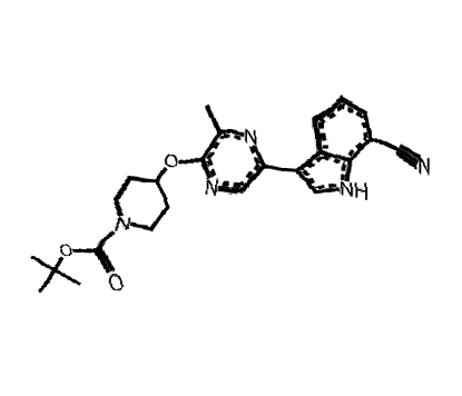 Cc1nc(-c2c[nH]c3c(C#N)cccc23)cnc1OC1CCN(C(=O)OC(C)(C)C)CC1